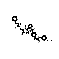 O=C(NCc1ccccc1)NCC(NC(=O)C1CCCN1S(=O)(=O)c1ccc(NC(=O)Nc2ccccc2)cc1)C(=O)O